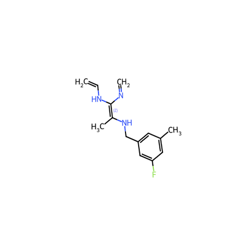 C=CN/C(N=C)=C(\C)NCc1cc(C)cc(F)c1